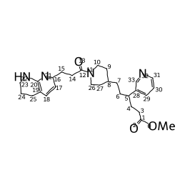 COC(=O)CCC(CCC1CCN(C(=O)CCc2ccc3c(n2)NCCC3)CC1)c1cccnc1